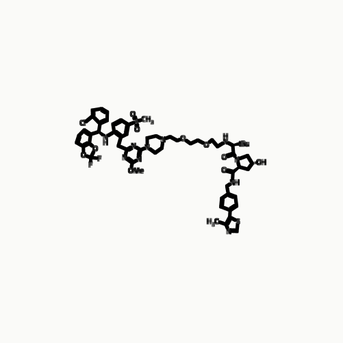 COc1nc(Cc2cc(S(C)(=O)=O)ccc2N[C@H](c2ccccc2Cl)c2cccc3c2OC(F)(F)O3)nc(N2CCN(CCOCCOCCN[C@H](C(=O)N3C[C@H](O)C[C@H]3C(=O)NCc3ccc(-c4scnc4C)cc3)C(C)(C)C)CC2)n1